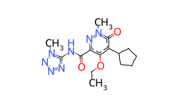 CCOc1c(C(=O)Nc2nnnn2C)nn(C)c(=O)c1C1CCCC1